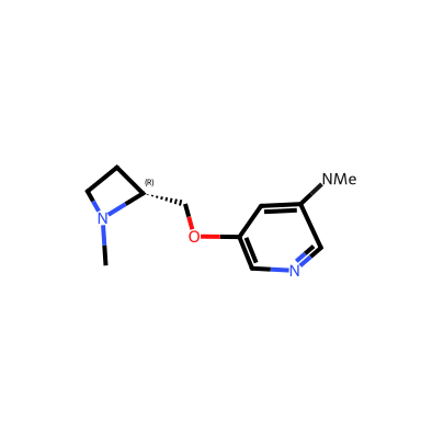 CNc1cncc(OC[C@H]2CCN2C)c1